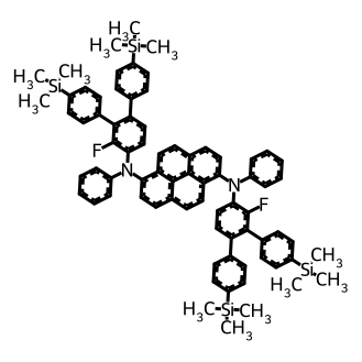 C[Si](C)(C)c1ccc(-c2ccc(N(c3ccccc3)c3ccc4ccc5c(N(c6ccccc6)c6ccc(-c7ccc([Si](C)(C)C)cc7)c(-c7ccc([Si](C)(C)C)cc7)c6F)ccc6ccc3c4c65)c(F)c2-c2ccc([Si](C)(C)C)cc2)cc1